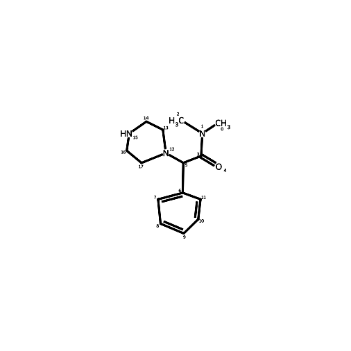 CN(C)C(=O)C(c1ccccc1)N1CCNCC1